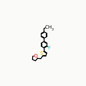 CCc1ccc(-c2ccc(-c3ccc(CC4CCCO4)s3)c(F)c2)cc1